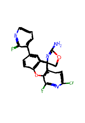 NC1=NC2(CO1)c1cc(-c3cccnc3F)ccc1Oc1c2cc(Cl)nc1F